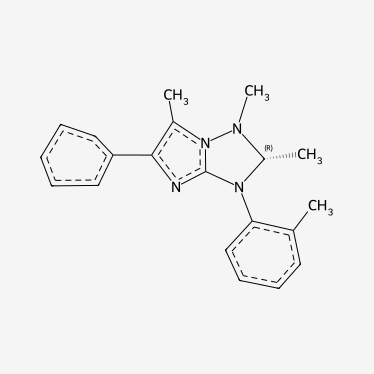 Cc1ccccc1N1c2nc(-c3ccccc3)c(C)n2N(C)[C@@H]1C